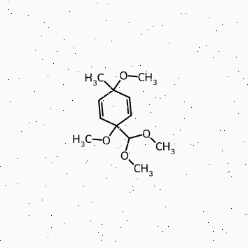 COC(OC)C1(OC)C=CC(C)(OC)C=C1